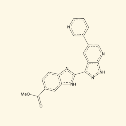 COC(=O)c1ccc2nc(-c3n[nH]c4ncc(-c5cccnc5)cc34)[nH]c2c1